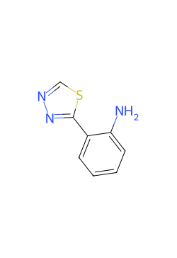 Nc1ccccc1-c1nncs1